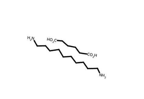 NCCCCCCCCCCN.O=C(O)CCCCC(=O)O